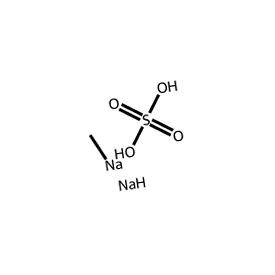 O=S(=O)(O)O.[CH3][Na].[NaH]